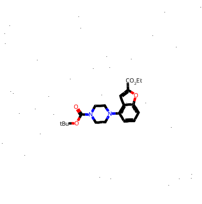 CCOC(=O)c1cc2c(N3CCN(C(=O)OC(C)(C)C)CC3)cccc2o1